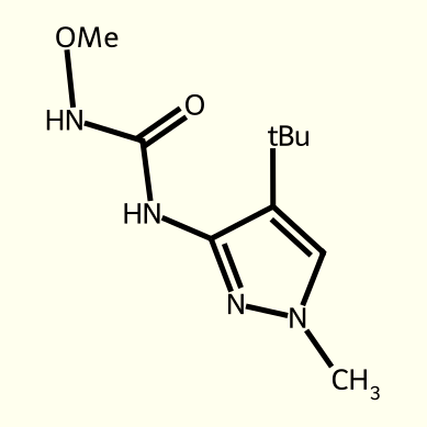 CONC(=O)Nc1nn(C)cc1C(C)(C)C